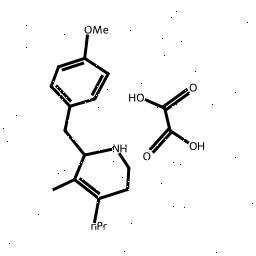 CCCC1=C(C)C(Cc2ccc(OC)cc2)NCC1.O=C(O)C(=O)O